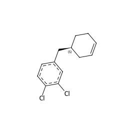 Clc1ccc(C[C@@H]2CC=CCC2)cc1Cl